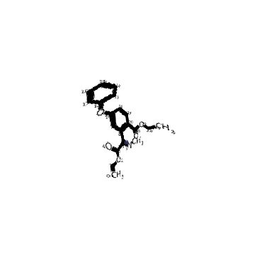 CCOC(=O)/C(=N/C)c1cc(Oc2ccccc2)ccc1C(=O)OCC